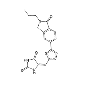 CCCN1Cc2cc(-c3ccc(C=C4NC(=S)NC4=O)s3)ccc2C1=O